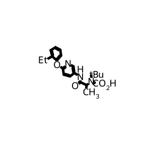 CCc1ccccc1Oc1ccc(NC(=O)C(C)N(C(=O)O)C(C)(C)C)cn1